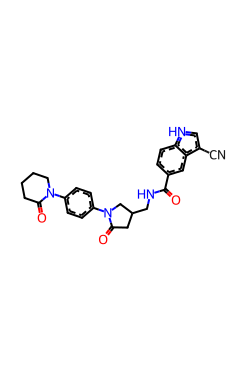 N#Cc1c[nH]c2ccc(C(=O)NCC3CC(=O)N(c4ccc(N5CCCCC5=O)cc4)C3)cc12